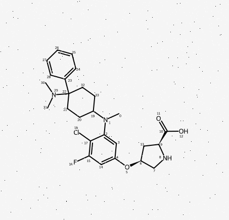 CN(c1cc(O[C@@H]2CN[C@H](C(=O)O)C2)cc(F)c1Cl)C1CCC(c2ccccc2)(N(C)C)CC1